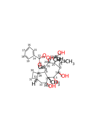 CC1=C2[C@@H](O)C(=O)[C@@]3(C)C([C@H](OC(=O)c4ccccc4)[C@](O)(C[C@@H]1O)C2(C)C)[C@]1(C)CC[C@@H]1C[C@@H]3O